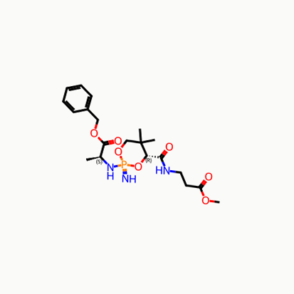 COC(=O)CCNC(=O)[C@@H]1OP(=N)(N[C@@H](C)C(=O)OCc2ccccc2)OCC1(C)C